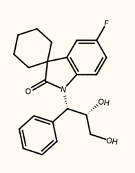 O=C1N([C@@H](c2ccccc2)[C@H](O)CO)c2ccc(F)cc2C12CCCCC2